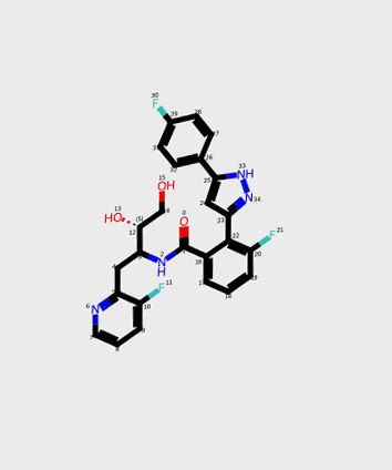 O=C(NC(Cc1ncccc1F)[C@H](O)CO)c1cccc(F)c1-c1cc(-c2ccc(F)cc2)[nH]n1